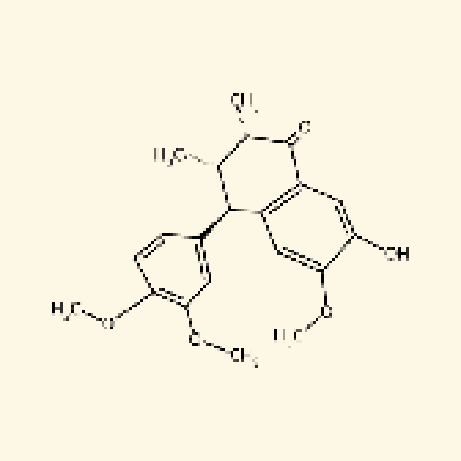 COc1cc2c(cc1O)C(=O)[C@@H](C)[C@@H](C)[C@@H]2c1ccc(OC)c(OC)c1